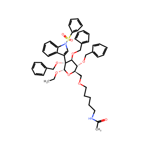 CCO[C@H]1O[C@H](COCCCCCNC(C)=O)[C@@H](OCc2ccccc2)[C@H](OCc2ccccc2)[C@]1(OCc1ccccc1)c1cn(S(=O)(=O)c2ccccc2)c2ccccc12